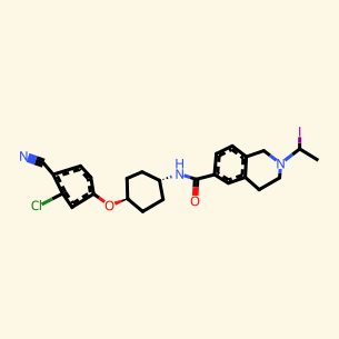 CC(I)N1CCc2cc(C(=O)N[C@H]3CC[C@H](Oc4ccc(C#N)c(Cl)c4)CC3)ccc2C1